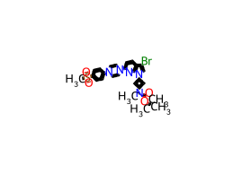 CN(C(=O)OC(C)(C)C)[C@H]1C[C@H](n2cc(Br)c3ccc(N4CCN(c5ccc(S(C)(=O)=O)cc5)CC4)nc32)C1